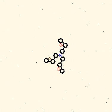 c1cc(-c2ccc3oc4ccccc4c3c2)cc(N(c2ccc(-c3cccc4c3oc3ccccc34)cc2)c2cccc(-c3cccc4c3sc3ccccc34)c2)c1